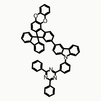 c1ccc(-c2nc(-c3ccccc3)nc(-c3cccc(-n4c5ccccc5c5cc(-c6ccc7c(c6)C6(c8ccccc8-c8ccccc86)c6ccc8c(c6-7)Oc6ccccc6O8)ccc54)c3)n2)cc1